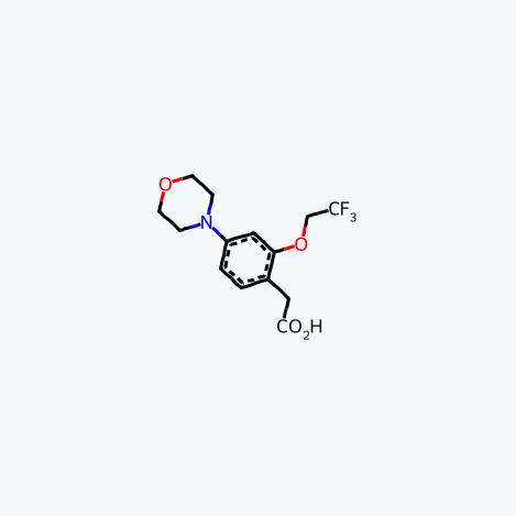 O=C(O)Cc1ccc(N2CCOCC2)cc1OCC(F)(F)F